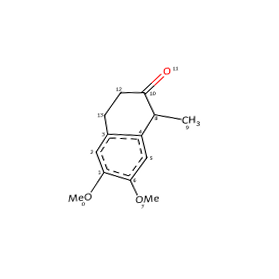 COc1cc2c(cc1OC)C(C)C(=O)CC2